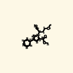 COCCC(C#N)n1nc(-c2ccncc2)cc1C(=O)OC